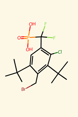 CC(C)(C)c1cc(C(F)(F)P(=O)(O)O)c(Cl)c(C(C)(C)C)c1CBr